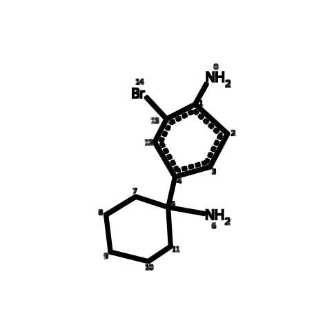 Nc1ccc(C2(N)CCCCC2)cc1Br